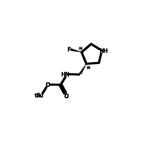 CC(C)(C)OC(=O)NC[C@H]1CNC[C@H]1F